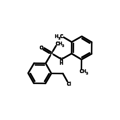 Cc1cccc(C)c1NP(C)(=O)c1ccccc1CCl